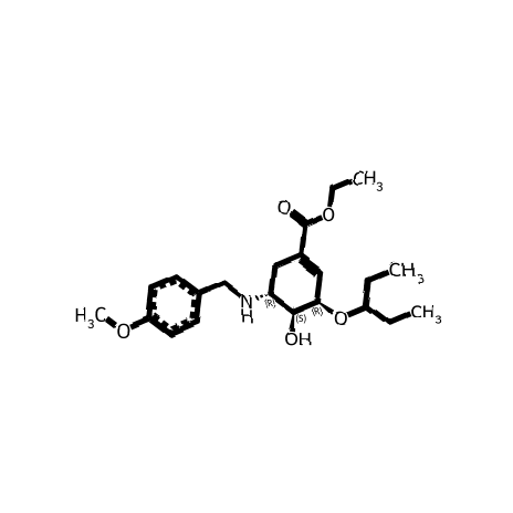 CCOC(=O)C1=C[C@@H](OC(CC)CC)[C@@H](O)[C@H](NCc2ccc(OC)cc2)C1